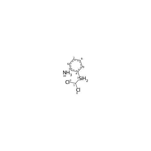 ClC(Cl)[SiH2]c1ccccc1.N